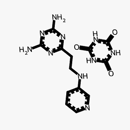 Nc1nc(N)nc(CCNc2cccnc2)n1.O=c1[nH]c(=O)[nH]c(=O)[nH]1